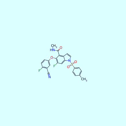 CNC(=O)c1c(Oc2ccc(F)c(C#N)c2)c(F)cc2c1ccn2S(=O)(=O)c1ccc(C)cc1